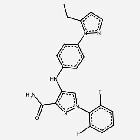 CCc1ccnn1-c1ccc(Nc2cn(-c3c(F)cccc3F)nc2C(N)=O)cc1